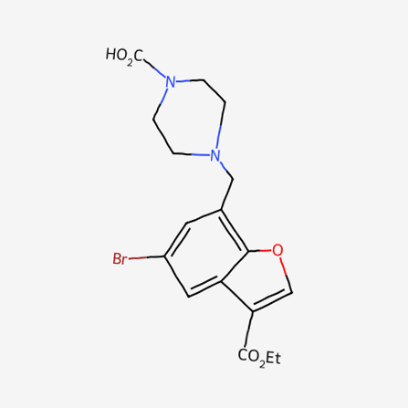 CCOC(=O)c1coc2c(CN3CCN(C(=O)O)CC3)cc(Br)cc12